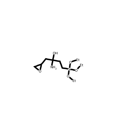 CCO[Si](CCC(N)(O)CC1CO1)(OCC)OCC